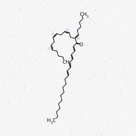 [CH2]CCC/C=C\C/C=C\C/C=C\C/C(=C\CCCCC)C(=O)C=CC=CC=CC=CCCCCCCCCCCC